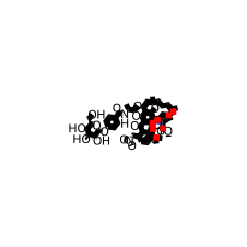 COC(=O)/C(C)=C\CC12OC(C)(C)C3CC(C1=O)C(C[N+](=O)[O-])C1C(=O)c4c(OC(=O)C(C)NC(=O)c5ccc(O[C@@H]6O[C@H](CO)[C@@H](O)[C@H](O)[C@H]6O)cc5)c5c(c(CC=C(C)C)c4OC132)OC(C)(CCC=C(C)C)C=C5